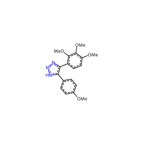 COc1ccc(-c2[nH]nnc2-c2ccc(OC)c(OC)c2OC)cc1